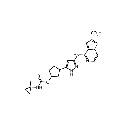 CC1(NC(=O)OC2CCC(c3cc(Nc4nccn5nc(C(=O)O)cc45)n[nH]3)C2)CC1